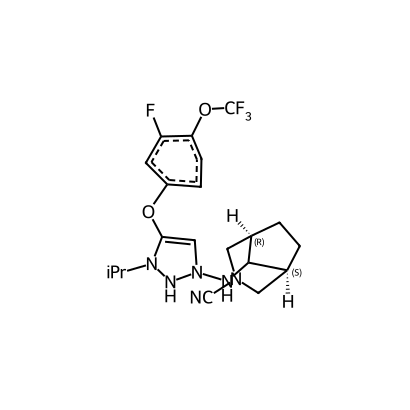 CC(C)N1NN(NC2[C@@H]3CC[C@H]2CN(C#N)C3)C=C1Oc1ccc(OC(F)(F)F)c(F)c1